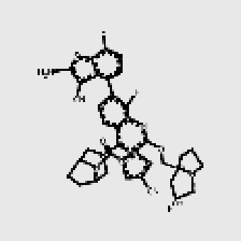 N#Cc1cnn(C(=O)N2C3CCC2CN(c2nc(OC[C@@]45CCCN4C[C@H](F)C5)nc4c(F)c(-c5ccc(F)c6sc(N)c(C#N)c56)ccc24)C3)c1